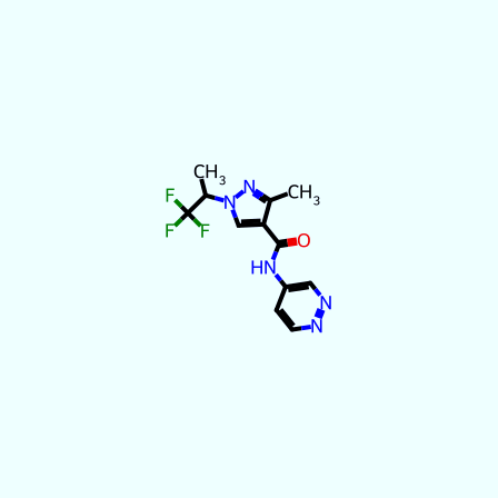 Cc1nn(C(C)C(F)(F)F)cc1C(=O)Nc1ccnnc1